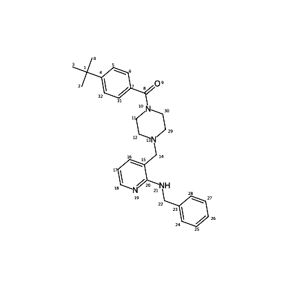 CC(C)(C)c1ccc(C(=O)N2CCN(Cc3cccnc3NCc3ccccc3)CC2)cc1